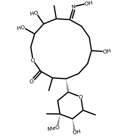 CO[C@]1(C)CC([C@H]2CCC(O)CC/C(=N\O)C(C)C(O)C(O)COC(=O)C2C)OC(C)[C@@H]1O